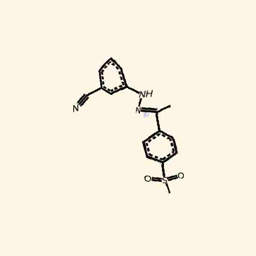 C/C(=N\Nc1cccc(C#N)c1)c1ccc(S(C)(=O)=O)cc1